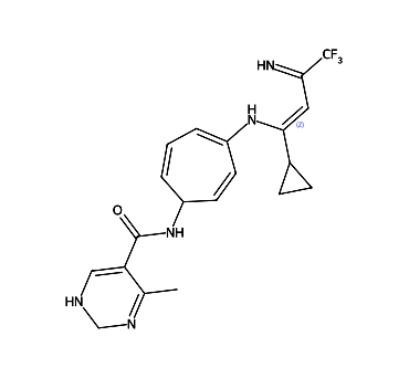 CC1=NCNC=C1C(=O)NC1C=CC=C(N/C(=C\C(=N)C(F)(F)F)C2CC2)C=C1